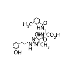 Cc1cccc(C(=O)NCC(NC(=O)c2c(C)nc(NCCCc3cccc(O)c3)nc2C)C(=O)O)c1